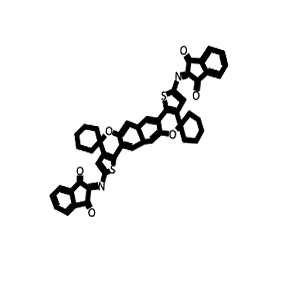 O=c1c(=Nc2cc3c(s2)C2=CC4C=C5OC6(CCCCC6)c6cc(N=c7c(=O)c8ccccc8c7=O)sc6C5=CC4C=C2OC32CCCCC2)c(=O)c2ccccc12